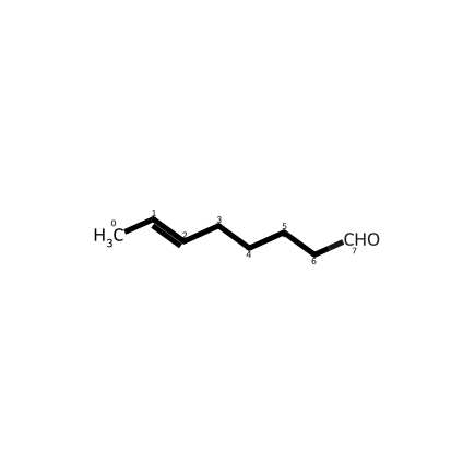 CC=CCC[CH]CC=O